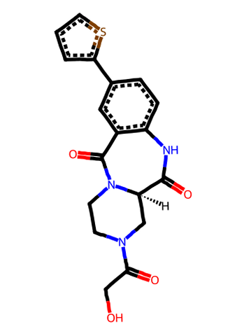 O=C1Nc2ccc(-c3cccs3)cc2C(=O)N2CCN(C(=O)CO)C[C@H]12